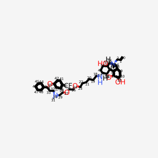 C=CCN1CC[C@]23c4c5ccc(O)c4O[C@H]2[C@H](NCCCCCCOCCOCCN(C)CCC(Oc2ccc(C(F)(F)F)cc2)c2ccccc2)CC[C@@]3(O)[C@H]1C5